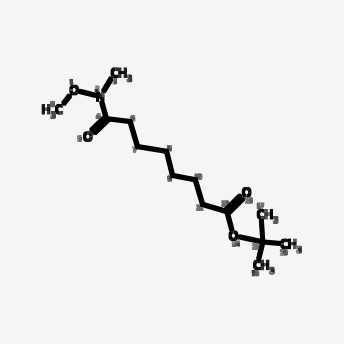 CON(C)C(=O)CCCCCCC(=O)OC(C)(C)C